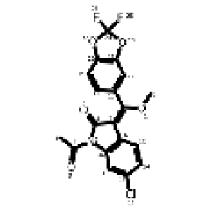 COC(=C1C(=O)N(C(C)=O)c2cc(Cl)ccc21)c1ccc2c(c1)OC(F)(F)O2